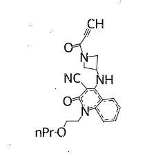 C#CC(=O)N1CC(Nc2c(C#N)c(=O)n(CCOCCC)c3ccccc23)C1